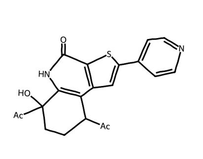 CC(=O)C1CCC(O)(C(C)=O)c2[nH]c(=O)c3sc(-c4ccncc4)cc3c21